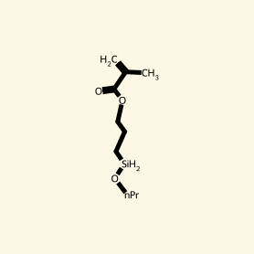 C=C(C)C(=O)OCCC[SiH2]OCCC